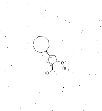 NOC1C[C@H](C2CCCCCCCC2)O[C@@H]1CO